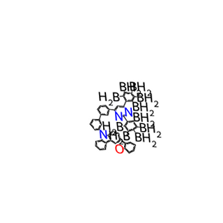 Bc1c(B)c(B)c(-c2cc(-c3cccc(-c4cccc(-n5c6ccccc6c6c7oc8ccccc8c7ccc65)c4)c3)nc(-c3c(B)c(B)c(B)c(B)c3B)n2)c(B)c1B